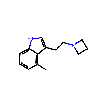 Cc1cccc2[nH]cc(CCN3CCC3)c12